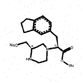 COC[C@H]1CN([C@@H](Cc2ccc3c(c2)CCC3)C(=O)OC(C)(C)C)CCN1